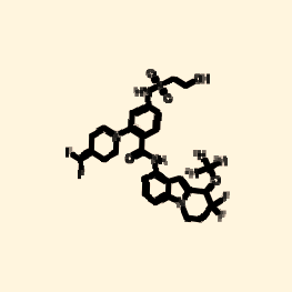 [2H]C([2H])([2H])OC1c2cc3c(NC(=O)c4ccc(NS(=O)(=O)CCO)cc4N4CCC(=C(F)F)CC4)cccc3n2CCC1(F)F